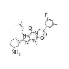 CC(C)=CCn1c(N2CCCC(N)C2)nc2c1c(=O)n(CC(=O)c1cc(C)cc(F)c1)c(=O)n2C